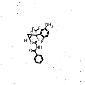 Nc1ccc(F)c([C@]2(C(F)F)N=C(NC(=O)c3ccccc3)O[C@H]3C[C@H]32)c1